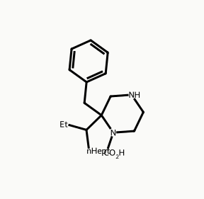 CCCCCCCC(CC)C1(Cc2ccccc2)CNCCN1C(=O)O